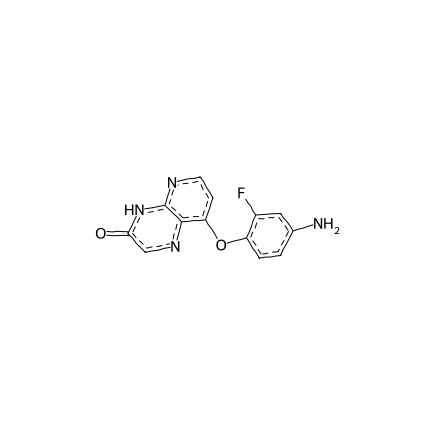 Nc1ccc(Oc2ccnc3[nH]c(=O)cnc23)c(F)c1